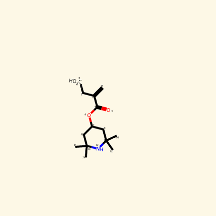 C=C(CC(=O)O)C(=O)OC1CC(C)(C)NC(C)(C)C1